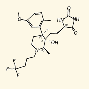 COc1ccc(C)c([C@]2(C)CCN(CCCC(F)(F)F)[C@H](C)[C@]2(O)CC[C@H]2NC(=O)NC2=O)c1